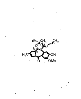 C=CCOC(=O)N1c2cc(O)c(OC)cc2C(=O)N2C=C(C)C[C@H]2[C@@H]1O[Si](C)(C)C(C)(C)C